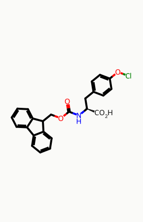 O=C(N[C@@H](Cc1ccc(OCl)cc1)C(=O)O)OCC1c2ccccc2-c2ccccc21